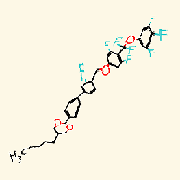 CCCCCC1COC(c2ccc(-c3ccc(COc4cc(F)c(C(F)(F)Oc5cc(F)c(F)c(F)c5)c(F)c4)c(F)c3)cc2)OC1